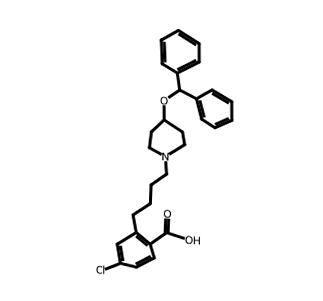 O=C(O)c1ccc(Cl)cc1CCCCN1CCC(OC(c2ccccc2)c2ccccc2)CC1